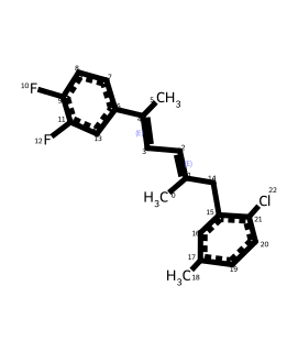 C/C(=C\C=C(/C)c1ccc(F)c(F)c1)Cc1cc(C)ccc1Cl